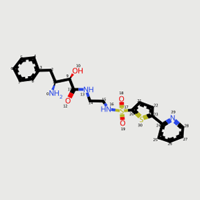 N[C@@H](Cc1ccccc1)[C@@H](O)C(=O)NCCNS(=O)(=O)c1ccc(-c2ccccn2)s1